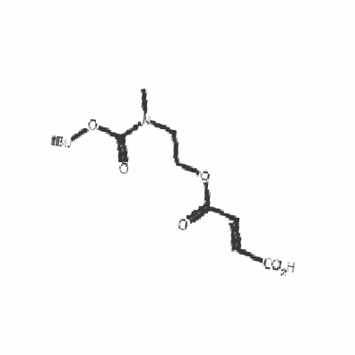 CN(CCOC(=O)/C=C/C(=O)O)C(=O)OC(C)(C)C